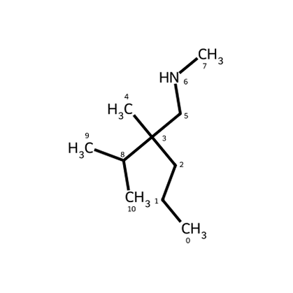 CCCC(C)(CNC)C(C)C